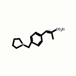 CCOC(=O)/C(C)=C/c1ccc(CN2CCCC2)cc1